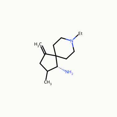 C=C1CC(C)[C@@H](N)C12CCN(CC)CC2